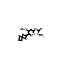 COc1cc(NC(=O)OC(C)(C)C)nnc1C1CC2(CCC2)C1